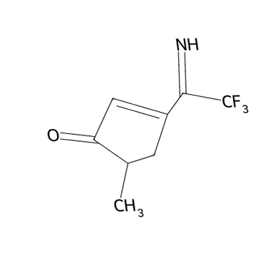 CC1CC(C(=N)C(F)(F)F)=CC1=O